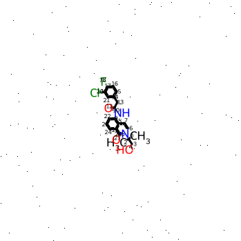 CC(C)(CO)n1ccc2c(NC(=O)Cc3ccc(F)c(Cl)c3)cccc2c1=O